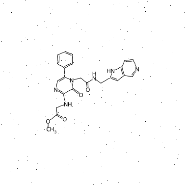 COC(=O)CNc1ncc(-c2ccccc2)n(CC(=O)NCc2cc3cnccc3[nH]2)c1=O